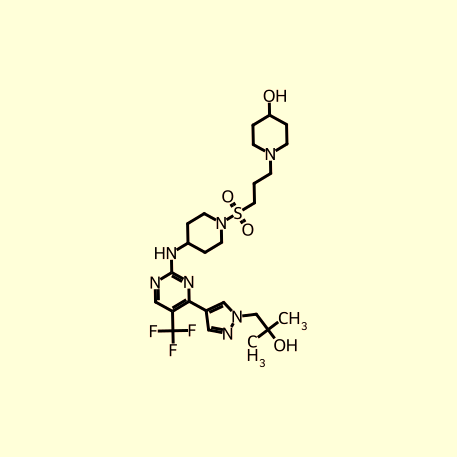 CC(C)(O)Cn1cc(-c2nc(NC3CCN(S(=O)(=O)CCCN4CCC(O)CC4)CC3)ncc2C(F)(F)F)cn1